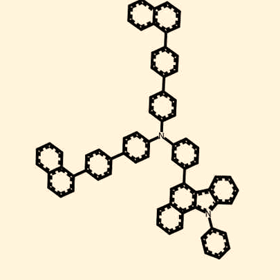 c1ccc(-n2c3ccccc3c3c(-c4cccc(N(c5ccc(-c6ccc(-c7cccc8ccccc78)cc6)cc5)c5ccc(-c6ccc(-c7cccc8ccccc78)cc6)cc5)c4)cc4ccccc4c32)cc1